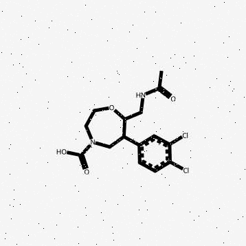 CC(=O)NCC1OCCN(C(=O)O)CC1c1ccc(Cl)c(Cl)c1